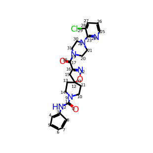 O=C(Nc1ccccc1)N1CCC2(CC1)CC(C(=O)N1CCN(c3ncccc3Cl)CC1)=NO2